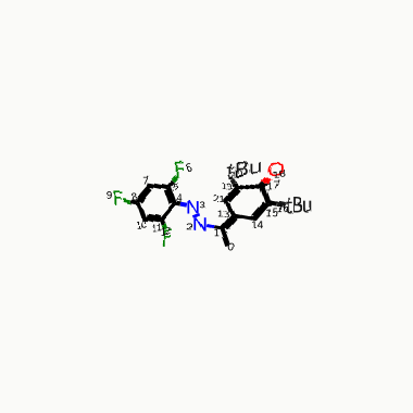 CC(N=Nc1c(F)cc(F)cc1F)=C1C=C(C(C)(C)C)C(=O)C(C(C)(C)C)=C1